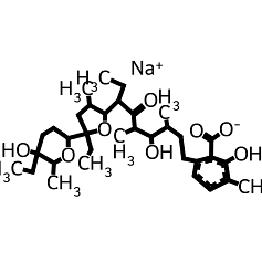 CCC(C(=O)C(C)C(O)C(C)CCc1ccc(C)c(O)c1C(=O)[O-])C1OC(CC)(C2CCC(O)(CC)C(C)O2)CC1C.[Na+]